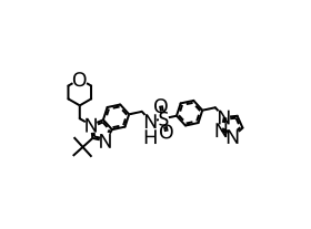 CC(C)(C)c1nc2cc(CNS(=O)(=O)c3ccc(Cn4ccnn4)cc3)ccc2n1CC1CCOCC1